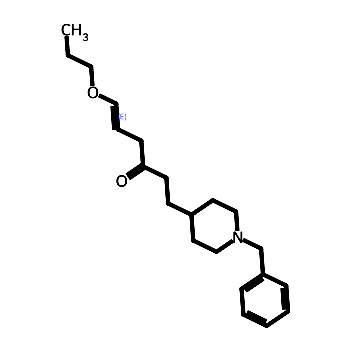 CCCO/C=C/CC(=O)CCC1CCN(Cc2ccccc2)CC1